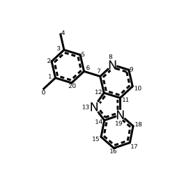 Cc1cc(C)cc(-c2nccc3c2nc2ccccn23)c1